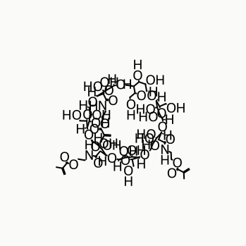 C=C(C)C(=O)OCCNC(=O)C1O[C@@H]2O[C@@H]3C(CO)O[C@H](O[C@@H]4C(CO)O[C@H](O[C@@H]5C(C(=O)NCCOC(=O)C(=C)C)OC(O[C@@H]6C(CO)O[C@H](O[C@@H]7C(C(=O)NCCOC(=O)C(=C)C)OC(O[C@@H]8C(CO)O[C@H](O[C@H]1C(O)C2O)C(O)C8O)[C@@H](O)C7O)C(O)C6O)[C@@H](O)C5O)C(O)C4O)C(O)C3O